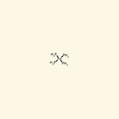 [PH2][Pd]([PH2])([PH2])[PH2]